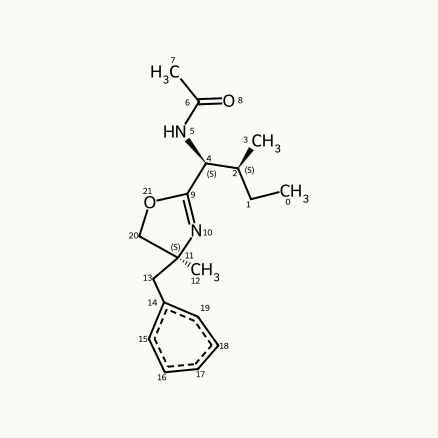 CC[C@H](C)[C@H](NC(C)=O)C1=N[C@@](C)(Cc2ccccc2)CO1